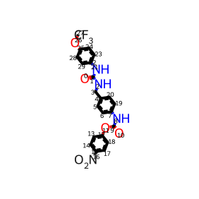 O=C(NCc1ccc(NC(=O)Oc2ccc([N+](=O)[O-])cc2)cc1)Nc1ccc(OC(F)(F)F)cc1